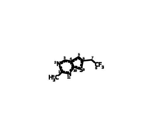 Cc1ncc2cc(CC(F)(F)F)sc2n1